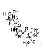 CC(C)n1ncc(CC(=O)Nc2cncc(C(=O)c3cn(C(C)C)c4ncncc34)c2)c1C(F)(F)F